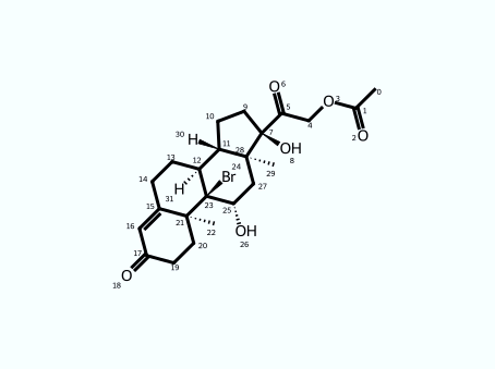 CC(=O)OCC(=O)[C@@]1(O)CC[C@H]2[C@@H]3CCC4=CC(=O)CC[C@]4(C)[C@@]3(Br)[C@@H](O)C[C@@]21C